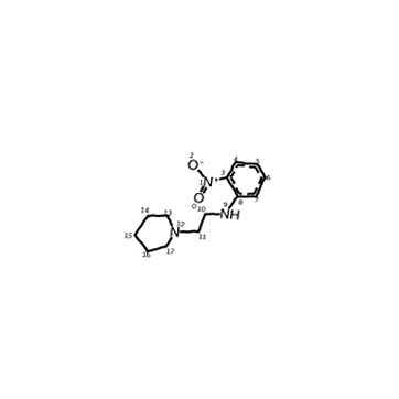 O=[N+]([O-])c1ccccc1NCCN1CCCCC1